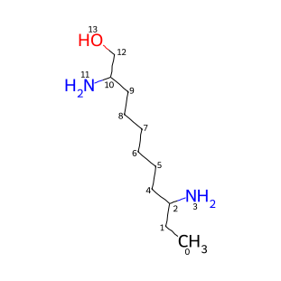 CCC(N)CCCCCCC(N)CO